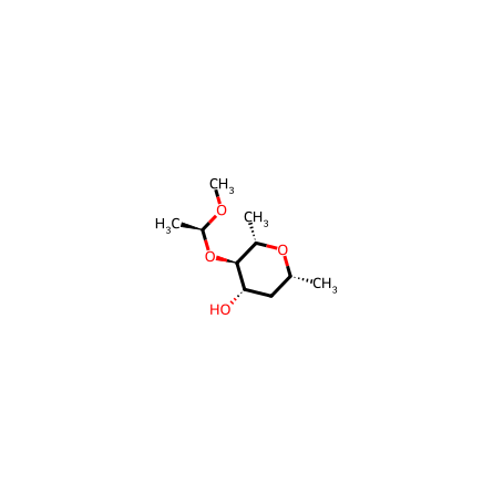 CO[C@H](C)O[C@H]1[C@H](C)O[C@H](C)C[C@@H]1O